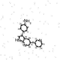 Nc1ccc(-c2c[nH]c3ncc(-c4cccnc4)cc23)cc1